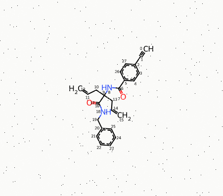 C#Cc1ccc(C(=O)NC(CC=C)(CC=C)C(=O)NCc2ccccc2)cc1